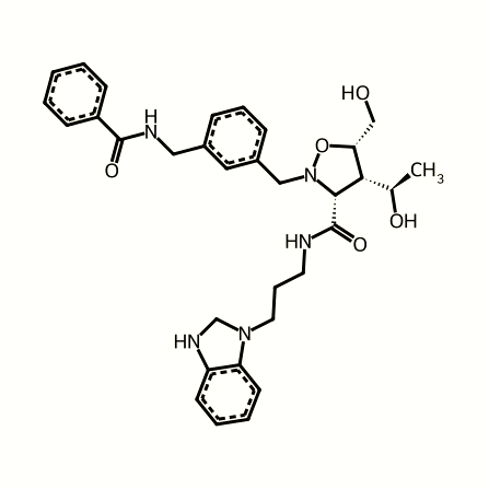 C[C@@H](O)[C@H]1[C@@H](CO)ON(Cc2cccc(CNC(=O)c3ccccc3)c2)[C@H]1C(=O)NCCCN1CNc2ccccc21